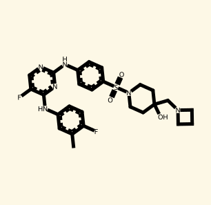 Cc1cc(Nc2nc(Nc3ccc(S(=O)(=O)N4CCC(O)(CN5CCC5)CC4)cc3)ncc2F)ccc1F